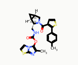 Cc1ccc(-c2sccc2C(=O)N2C[C@@H]3C[C@@H]3[C@H]2CNC(=O)Oc2c(C)nc3sccn23)cc1